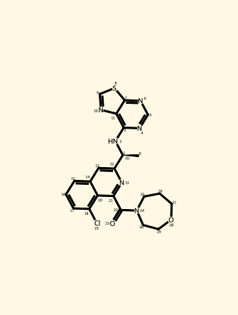 C[C@H](Nc1ncnc2scnc12)c1cc2cccc(Cl)c2c(C(=O)N2CCCOCC2)n1